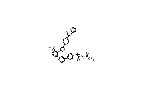 Cc1onc(-c2cccc(-c3ccc(NC(=O)COC(=O)C(F)(F)F)cc3)c2)c1-c1csc(C2CCN(C(=O)Cc3cccs3)CC2)n1